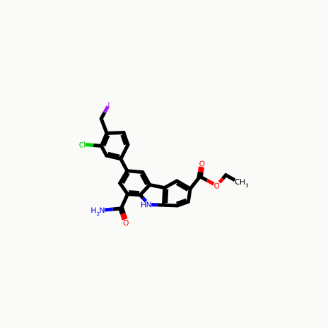 CCOC(=O)c1ccc2[nH]c3c(C(N)=O)cc(-c4ccc(CI)c(Cl)c4)cc3c2c1